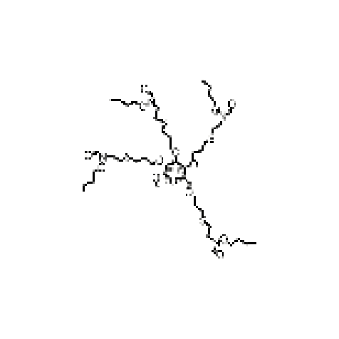 CCCCON(C=O)CCSCCCOC[C@H]1O[C@H](OC)[C@H](OCCCSCCN(C=O)OCCCC)[C@@H](OCCCSCCN(C=O)OCCCC)[C@H]1OCCCSCCN(C=O)OCCCC